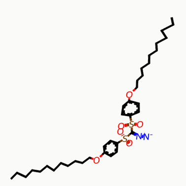 CCCCCCCCCCCCOc1ccc(S(=O)(=O)C(=[N+]=[N-])S(=O)(=O)c2ccc(OCCCCCCCCCCCC)cc2)cc1